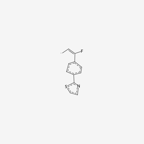 [CH2]/C=C(/F)c1ccc(-c2nccs2)cc1